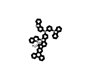 CC1(C)c2cc3c4ccccc4c4ccccc4c3cc2-c2ccc3c4ccc(N(c5cccc(-n6c7ccccc7c7ccccc76)c5)c5ccc6sc7ccccc7c6c5)cc4n(-c4ccc5ccccc5n4)c3c21